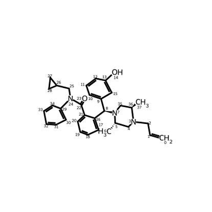 C=CCN1C[C@H](C)N([C@H](c2cccc(O)c2)c2ccccc2C(=O)N(CC2CC2)c2ccccc2)C[C@H]1C